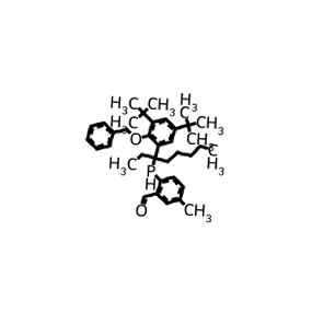 CCCCCC(CC)(Pc1ccc(C)cc1C=O)c1cc(C(C)(C)C)cc(C(C)(C)C)c1OCc1ccccc1